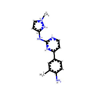 Cc1cc(-c2ccnc(Nc3ccn(C)n3)n2)ccc1N